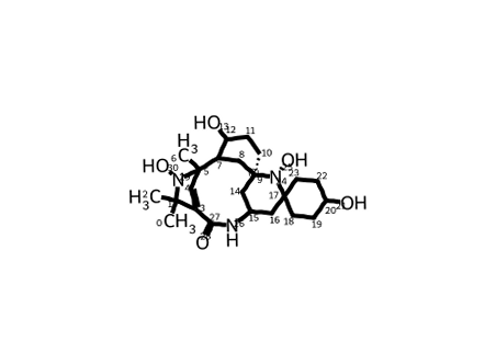 CC1(C)C2=CC(C)(C3C[C@]4(CCC3O)CC(CC3(CCC(O)CC3)N4O)NC2=O)N1O